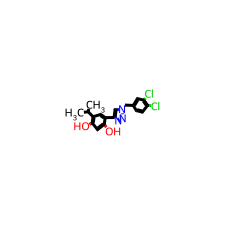 CC(C)c1cc(-c2cn(Cc3ccc(Cl)c(Cl)c3)nn2)c(O)cc1O